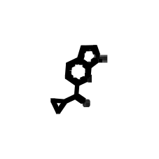 O=C(c1ccc2cc[nH]c2n1)C1CC1